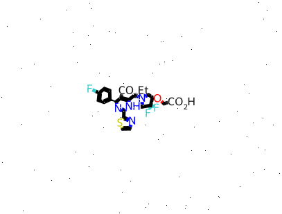 CCOC(=O)C1=C(CN2CC(OCC(=O)O)C(F)(F)C2)NC(c2nccs2)=N[C@H]1c1ccc(F)cc1